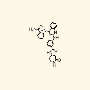 NC(=O)c1ccccc1Nc1nc(Nc2cccc(C(=O)NC3CCNC(=O)C3)c2)nc2ccccc12